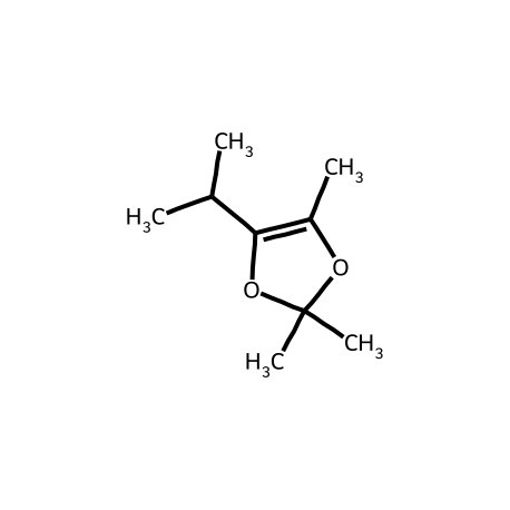 CC1=C(C(C)C)OC(C)(C)O1